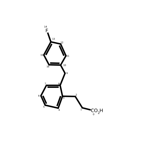 O=C(O)CCc1ccccc1Cc1ccc(F)cc1